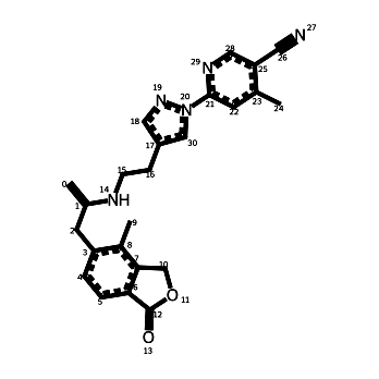 C=C(Cc1ccc2c(c1C)COC2=O)NCCc1cnn(-c2cc(C)c(C#N)cn2)c1